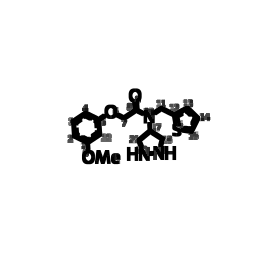 COc1cccc(OCC(=O)N(Cc2cccs2)C2CNNC2)c1